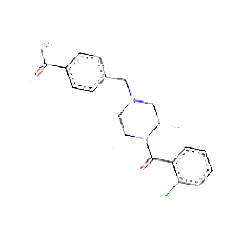 COC(=O)c1ccc(CN2C[C@@H](C)N(C(=O)c3ccccc3Cl)[C@@H](C)C2)cc1